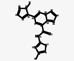 Cc1csc(NC(=O)c2cc(-c3ccnn3C)cn3ccnc23)n1